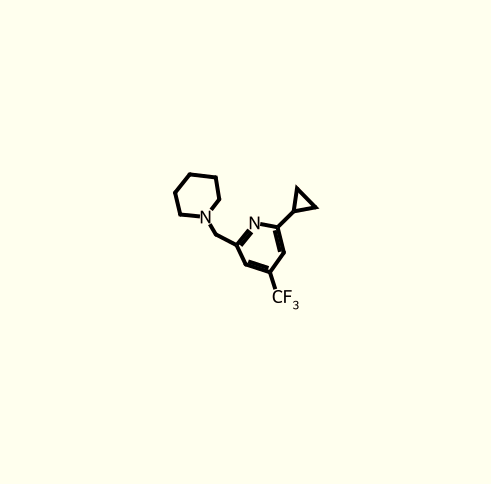 FC(F)(F)c1cc(CN2CCCCC2)nc(C2CC2)c1